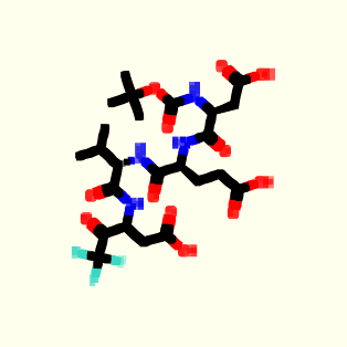 CC(C)[C@H](NC(=O)[C@H](CCC(=O)O)NC(=O)[C@H](CC(=O)O)NC(=O)OC(C)(C)C)C(=O)NC(CC(=O)O)C(=O)C(F)(F)F